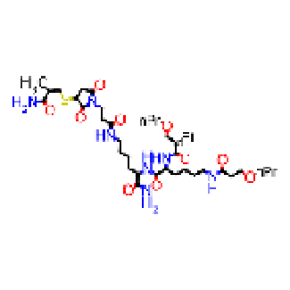 CCCOCCC(=O)NCCCCC(NC(=O)[C@H](CC)COCCC)C(=O)NC(CCCCNC(=O)CCN1C(=O)CC(SCC(C)C(N)=O)C1=O)C(N)=O